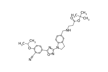 CC(C)Oc1ccc(-c2nc(N3CCc4cc(CNCCC(=O)OC(C)(C)C)ccc43)no2)cc1C#N